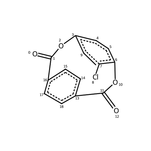 O=C1Oc2ccc(c(Cl)c2)OC(=O)c2ccc1cc2